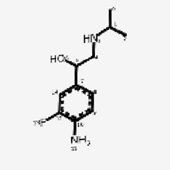 CC(C)NCC(O)c1ccc(N)c(F)c1